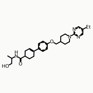 CCc1cnc(N2CCC(COc3ccc(C4=CCC(C(=O)NC(C)CO)CC4)cc3)CC2)nc1